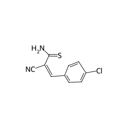 N#CC(=Cc1ccc(Cl)cc1)C(N)=S